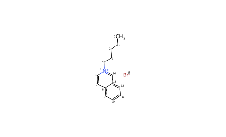 CCCCC[n+]1ccc2ccccc2c1.[Br-]